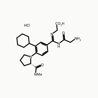 CNC(=O)[C@@H]1CCCN1c1ccc(C(=NCC(=O)O)NC(=O)CN)cc1C1CCCCC1.Cl